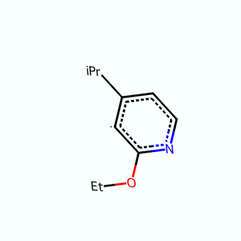 CCOc1[c]c(C(C)C)ccn1